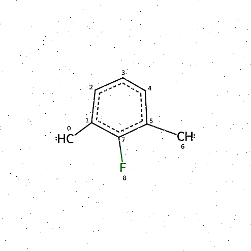 [CH]c1cccc([CH])c1F